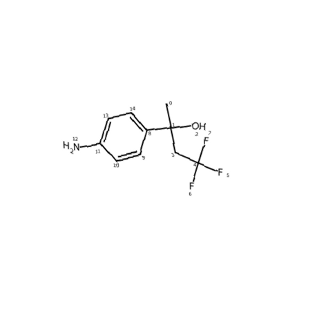 CC(O)(CC(F)(F)F)c1ccc(N)cc1